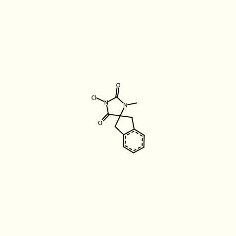 CN1C(=O)N(Cl)C(=O)C12Cc1ccccc1C2